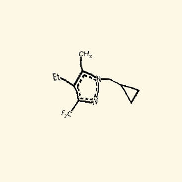 CCc1c(C(F)(F)F)nn(CC2CC2)c1C